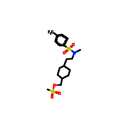 CN(CCC1CCC(COS(C)(=O)=O)CC1)S(=O)(=O)c1ccc(C(F)(F)F)cc1